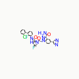 NC(=O)c1nn(CC(=O)N2C[C@H](F)C[C@H]2C(=O)Nc2cccc(-c3ccccc3Cl)c2F)c2ccc(-c3cncnc3)cc12